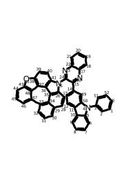 c1ccc(-n2c3ccccc3c3ccc(-c4nc5ccccc5nc4-n4c5ccc6cccc7c6c5c5c6c(ccc54)oc4cccc-7c46)cc32)cc1